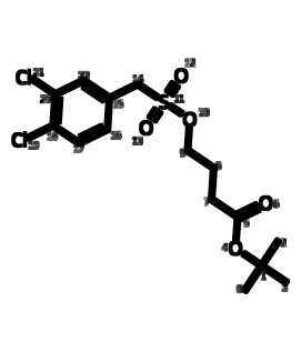 CC(C)(C)OC(=O)CCCOS(=O)(=O)Cc1ccc(Cl)c(Cl)c1